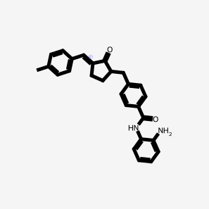 Cc1ccc(/C=C2\CCC(Cc3ccc(C(=O)Nc4ccccc4N)cc3)C2=O)cc1